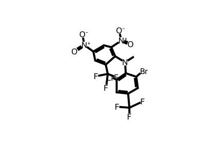 CN(c1c(Cl)cc(C(F)(F)F)cc1Br)c1c([N+](=O)[O-])cc([N+](=O)[O-])cc1C(F)(F)F